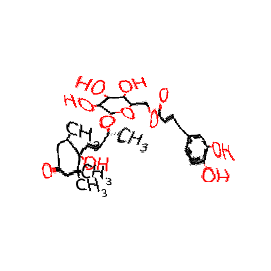 C[C@H](/C=C/[C@@]1(O)[C@H](C)CC(=O)CC1(C)C)OC1OC(COC(=O)/C=C/c2ccc(O)c(O)c2)C(O)C(O)C1O